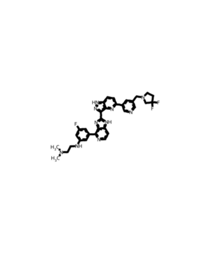 CN(C)CCNc1cc(F)cc(-c2nccc3[nH]c(-c4n[nH]c5ccc(-c6cncc(CN7CCC(F)(F)C7)c6)nc45)nc23)c1